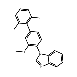 COc1cc(-c2c(C)cccc2C)ccc1-n1cnc2ccccc21